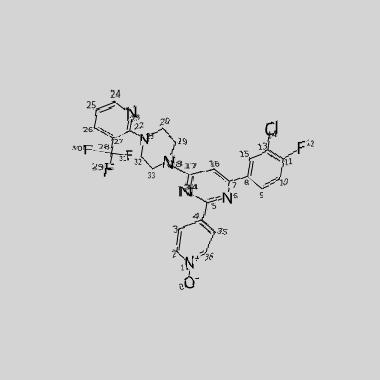 [O-][n+]1ccc(-c2nc(-c3ccc(F)c(Cl)c3)cc(N3CCN(c4ncccc4C(F)(F)F)CC3)n2)cc1